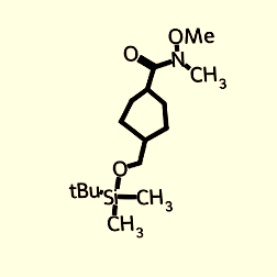 CON(C)C(=O)C1CCC(CO[Si](C)(C)C(C)(C)C)CC1